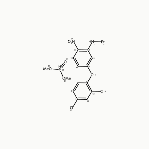 CCNc1cc(Oc2ccc(Cl)cc2Cl)ccc1[N+](=O)[O-].CO[PH](=O)OC